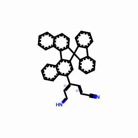 N#C/C=C/C(=C\C=N)c1cc2c(c3ccccc13)-c1c(ccc3ccccc13)C21c2ccccc2-c2ccccc21